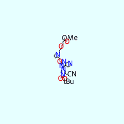 COC(=O)CCOCCCN1CCCC1COc1nc2c(c(N3CCN(C(=O)OC(C)(C)C)C(CC#N)C3)n1)CC=NC2